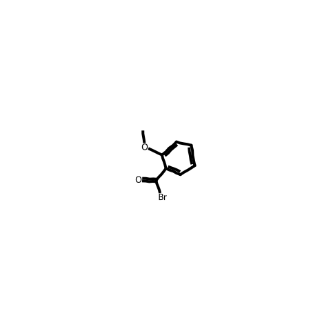 COc1ccccc1C(=O)Br